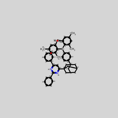 Cc1cc(C)c(B(c2ccc(C34CC5CC(C3)CC(c3cc(-c6ccccc6)nc(-c6ccccc6)n3)(C5)C4)cc2)c2c(C)cc(C)cc2C)c(C)c1